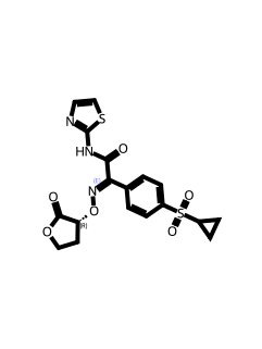 O=C(Nc1nccs1)/C(=N/O[C@@H]1CCOC1=O)c1ccc(S(=O)(=O)C2CC2)cc1